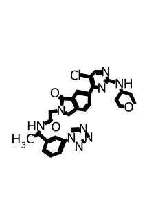 CC(NC(=O)CN1Cc2ccc(-c3nc(NC4CCOCC4)ncc3Cl)cc2C1=O)c1cccc(-n2cnnn2)c1